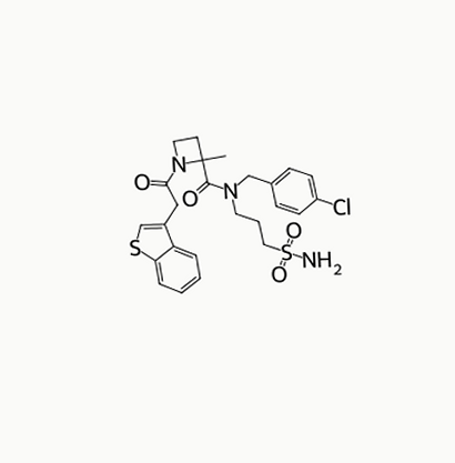 CC1(C(=O)N(CCCS(N)(=O)=O)Cc2ccc(Cl)cc2)CCN1C(=O)Cc1csc2ccccc12